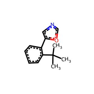 CC(C)(C)c1ccccc1-c1cnco1